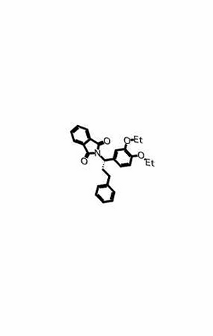 CCOc1ccc([C@H](CCc2ccccc2)N2C(=O)c3ccccc3C2=O)cc1OCC